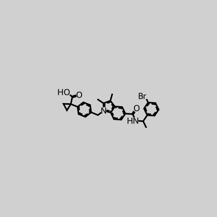 Cc1c(C)n(Cc2ccc(C3(C(=O)O)CC3)cc2)c2ccc(C(=O)NC(C)c3cccc(Br)c3)cc12